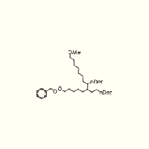 CCCCCCCCCCCCC(CCCCCOOCc1ccccc1)C(CCCCCCCCCC)CCCCCCCOC